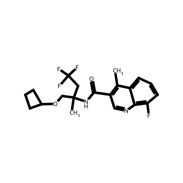 Cc1c(C(=O)NC(C)(COC2CCC2)CC(F)(F)F)cnc2c(F)cccc12